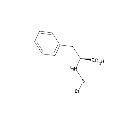 CCSN[C@@H](Cc1ccccc1)C(=O)O